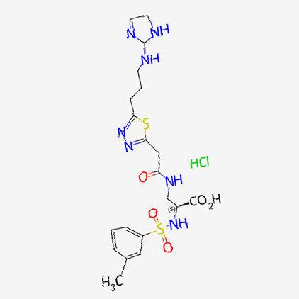 Cc1cccc(S(=O)(=O)N[C@@H](CNC(=O)Cc2nnc(CCCNC3N=CCN3)s2)C(=O)O)c1.Cl